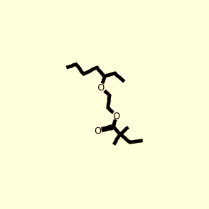 CCCCC(CC)OCCOC(=O)C(C)(C)CC